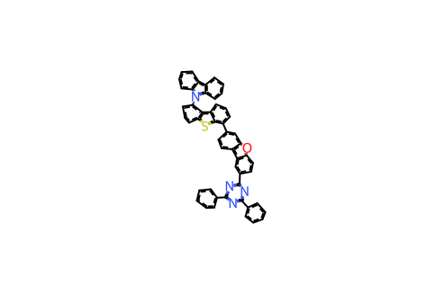 c1ccc(-c2nc(-c3ccccc3)nc(-c3ccc4oc5cc(-c6cccc7c6sc6cccc(-n8c9ccccc9c9ccccc98)c67)ccc5c4c3)n2)cc1